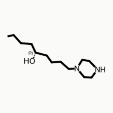 CCCC[C@@H](O)CCCCN1CCNCC1